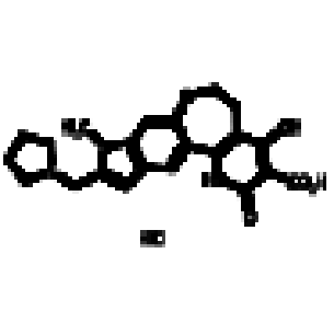 Cl.Cn1c(CN2CCCC2)cc2cc3c(cc21)OCCc1c-3[nH]c(=O)c(C(=O)O)c1O